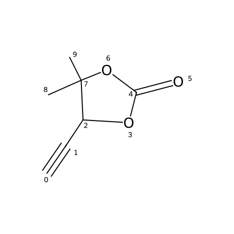 C#CC1OC(=O)OC1(C)C